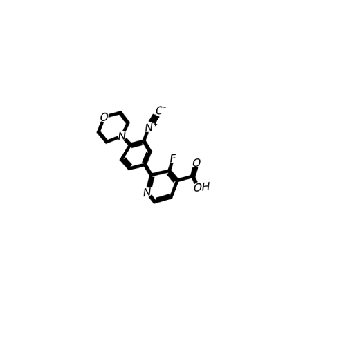 [C-]#[N+]c1cc(-c2nccc(C(=O)O)c2F)ccc1N1CCOCC1